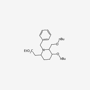 CCCCOCC1C(OCCCC)CCC(CC(=O)OCC)N1Cc1ccccc1